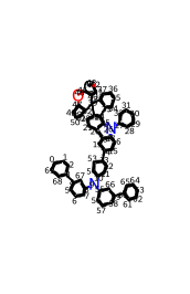 c1ccc(-c2cccc(N(c3ccc(-c4ccc5c(c4)c4ccc6c(c4n5-c4ccccc4)-c4ccccc4C64c5ccccc5Oc5ccccc54)cc3)c3cccc(-c4ccccc4)c3)c2)cc1